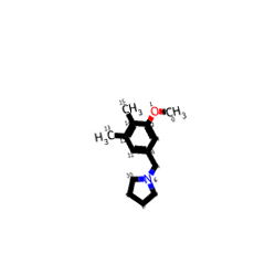 COc1cc(CN2CCCC2)cc(C)c1C